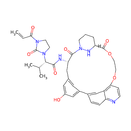 C=CC(=O)N1CCN([C@H](C(=O)N[C@H]2Cc3cc(O)cc(c3)-c3ccc4nccc(c4c3)OCCOC(=O)[C@@H]3CCCN(N3)C2=O)C(C)C)C1=O